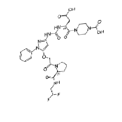 O=C(O)C[C@H](NC(=O)Nc1cc(OCC(=O)N2CCC[C@H]2C(=O)NCC(F)F)n(-c2ccccc2)n1)C(=O)N1CCN(C(=O)O)CC1